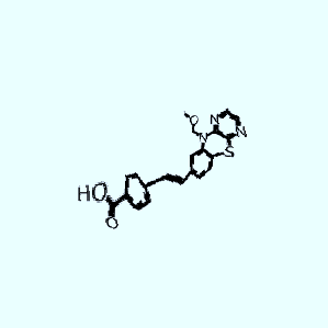 COCN1c2cc(C=Cc3ccc(C(=O)O)cc3)ccc2Sc2nccnc21